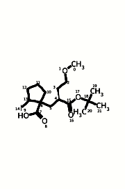 COCC[C@H](CC1(C(=O)O)CCCC1I)C(=O)OC(C)(C)C